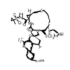 COc1ccc2nc(C(F)(F)F)c3c(c2c1)[C@H](F)C[C@]1(C[C@H]2C(=O)N[C@]4(C(=O)NS(=O)(=O)C5(C)CC5)C[C@H]4/C=C\CCCCC[C@H](N(CC(C)(C)C)C(=O)O)C(=O)N2C1)O3